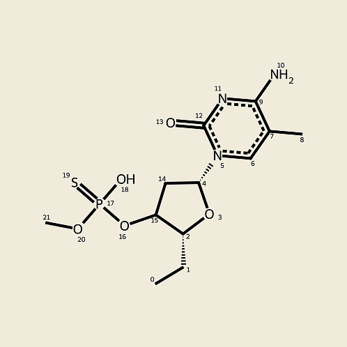 CC[C@H]1O[C@@H](n2cc(C)c(N)nc2=O)CC1OP(O)(=S)OC